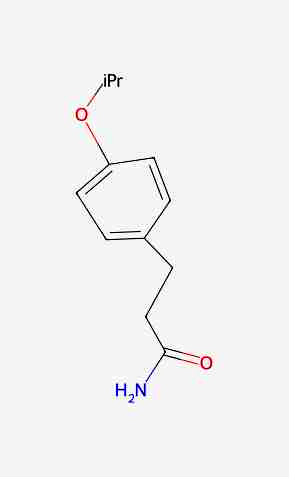 CC(C)Oc1ccc(CCC(N)=O)cc1